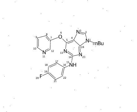 CCCCn1cnc2c(Oc3cccnc3)nc(Nc3ccc(F)cc3)nc21